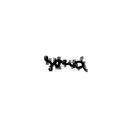 C[C@@H]1C[C@@H](C)CN(CCCOc2ccc(C(=O)CC=O)cc2)C1